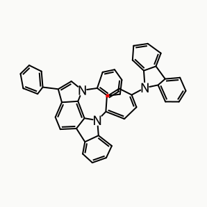 c1ccc(-c2cn(-c3ccccc3)c3c2ccc2c4ccccc4n(-c4ccc(-n5c6ccccc6c6ccccc65)cc4)c23)cc1